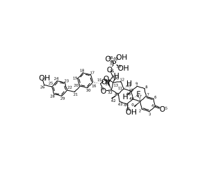 C[C@]12C=CC(=O)C=C1CC[C@H]1[C@@H]3C[C@H]4O[C@@H](c5cccc(Cc6ccc(CO)cc6)c5)O[C@@]4(C(=O)COP(=O)(O)O)[C@@]3(C)C[C@H](O)[C@@]12F